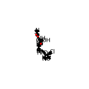 Cc1ncsc1-c1ccc(CNC(=O)[C@@H]2C[C@@H](O)CN2C(=O)[C@H](C(C)C)n2cc(-c3ccnc(O[C@H](C)CNC(=O)C[C@@H]4N=C(c5ccc(Cl)cc5)c5c(sc(C)c5C)-n5c(C)nnc54)c3)cn2)cc1